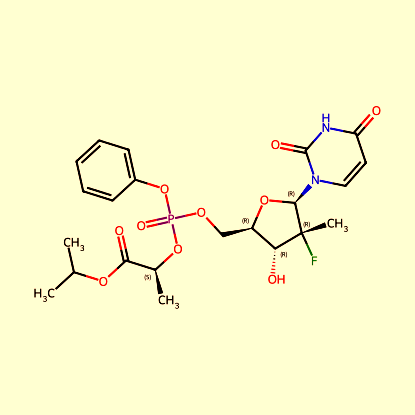 CC(C)OC(=O)[C@H](C)OP(=O)(OC[C@H]1O[C@@H](n2ccc(=O)[nH]c2=O)[C@](C)(F)[C@@H]1O)Oc1ccccc1